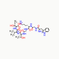 CC(C)[C@H](NC(=O)[C@@H](NC(=O)CNC(=O)[C@H](CCCCN)NC(=O)CNC(=O)[C@@H](N)Cc1c[nH]c2ccccc12)[C@@H](C)O)C(=O)N[C@H](C(=O)O)[C@@H](C)O